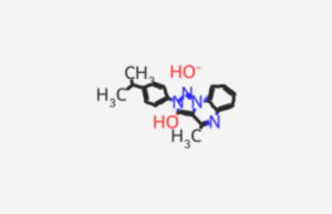 Cc1nc2ccccc2[n+]2nn(-c3ccc(C(C)C)cc3)c(O)c12.[OH-]